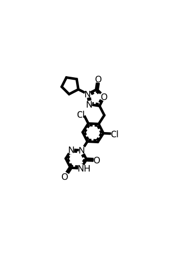 O=c1cnn(-c2cc(Cl)c(Cc3nn(C4CCCC4)c(=O)o3)c(Cl)c2)c(=O)[nH]1